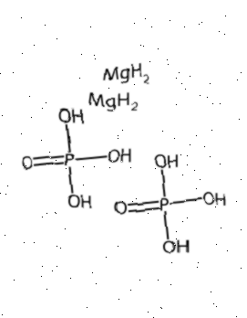 O=P(O)(O)O.O=P(O)(O)O.[MgH2].[MgH2]